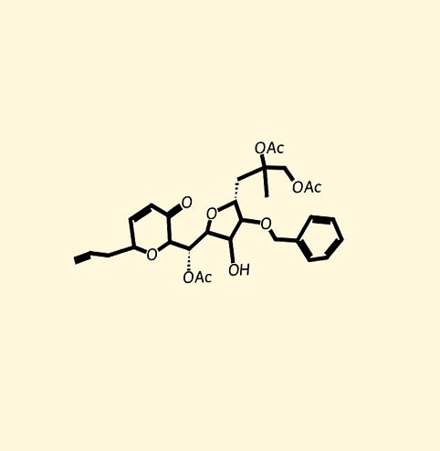 C=CCC1C=CC(=O)C([C@@H](OC(C)=O)C2O[C@H](CC(C)(COC(C)=O)OC(C)=O)C(OCc3ccccc3)C2O)O1